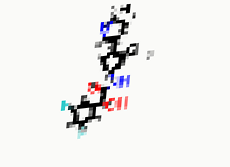 Cc1ccc(-c2ccc(NC(=O)[C@@H](O)c3cc(F)cc(F)c3)cc2C)cn1